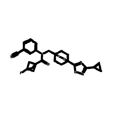 N#Cc1cccc(N(CC23CCC(c4nc(C5CC5)no4)(CC2)OC3)C(=O)C23CC(F)(C2)C3)c1